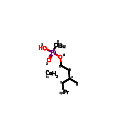 CC(C)COP(=O)(O)OCCC(C)CC(C)C.[CaH2]